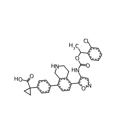 CC(OC(=O)Nc1cnoc1-c1ccc(-c2ccc(C3(C(=O)O)CC3)cc2)c2c1CCNC2)c1ccccc1Cl